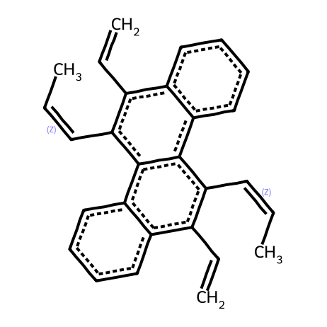 C=Cc1c(/C=C\C)c2c3ccccc3c(C=C)c(/C=C\C)c2c2ccccc12